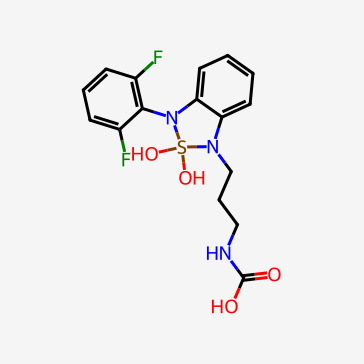 O=C(O)NCCCN1c2ccccc2N(c2c(F)cccc2F)S1(O)O